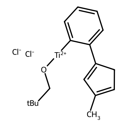 CC1=CCC(c2cccc[c]2[Ti+2][O]CC(C)(C)C)=C1.[Cl-].[Cl-]